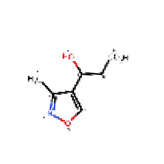 Cc1nocc1C(O)CC(=O)O